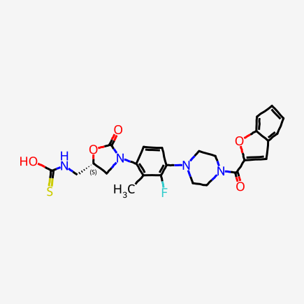 Cc1c(N2C[C@H](CNC(O)=S)OC2=O)ccc(N2CCN(C(=O)c3cc4ccccc4o3)CC2)c1F